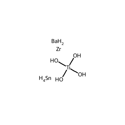 [BaH2].[OH][Ti]([OH])([OH])[OH].[SnH4].[Zr]